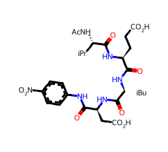 CC[C@H](C)[C@H](NC(=O)[C@H](CCC(=O)O)NC(=O)[C@@H](NC(C)=O)C(C)C)C(=O)N[C@@H](CC(=O)O)C(=O)Nc1ccc([N+](=O)[O-])cc1